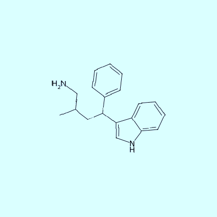 CC(CN)CC(c1ccccc1)c1c[nH]c2ccccc12